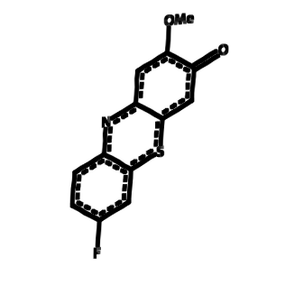 COc1cc2nc3ccc(F)cc3sc-2cc1=O